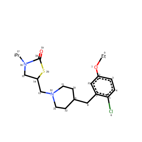 CCOc1ccc(Cl)c(CC2CCN(CC3CN(C(C)C)C(=O)S3)CC2)c1